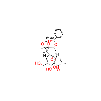 CCCCCCC(=O)O[C@@]12[C@H](OC(=O)c3ccccc3)[C@@H](C)[C@]3(O)[C@@H]4C=C(C)C(=O)[C@@]4(O)[C@H](O)C(CO)=C[C@H]3[C@@H]1C2(C)C